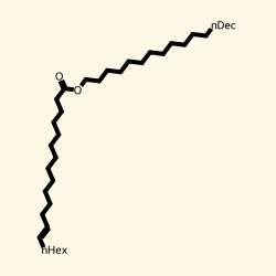 CCCCCCC=CCCCCCCCCCCCC(=O)OCCCCCCCCCCCCCCCCCCCCCC